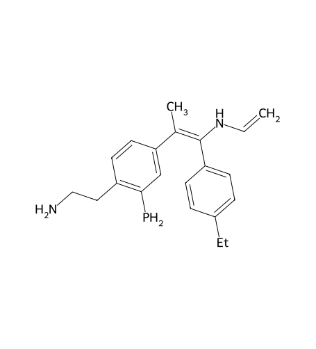 C=CN/C(=C(\C)c1ccc(CCN)c(P)c1)c1ccc(CC)cc1